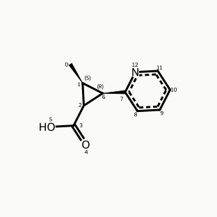 C[C@@H]1C(C(=O)O)[C@@H]1c1ccccn1